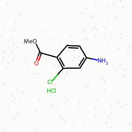 COC(=O)c1ccc(N)cc1Cl.Cl